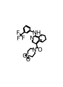 O=C(c1cnc(Nc2cccc(C(F)(F)F)c2)c2c1C1CCC2CC1)N1CCS(=O)(=O)CC1